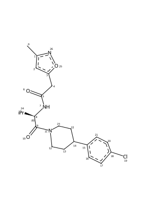 Cc1cc(CC(=O)N[C@@H](C(=O)N2CCC(c3ccc(Cl)cc3)CC2)C(C)C)on1